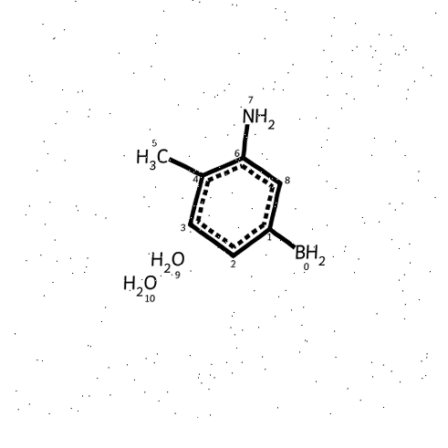 Bc1ccc(C)c(N)c1.O.O